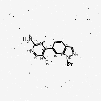 CC(C)n1ncc2ccc(-c3nc(N)ncc3F)cc21